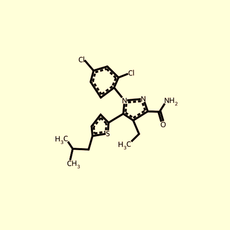 CCc1c(C(N)=O)nn(-c2ccc(Cl)cc2Cl)c1-c1ccc(CC(C)C)s1